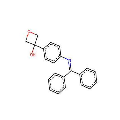 OC1(c2ccc(N=C(c3ccccc3)c3ccccc3)cc2)COC1